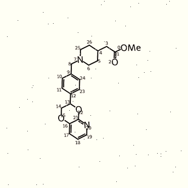 COC(=O)CC1CCN(Cc2ccc(C3COc4cccnc4O3)cc2)CC1